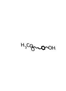 CCOC(=O)CC/C=C/c1ccc(CCO)cc1